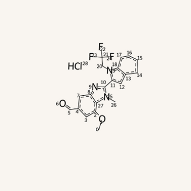 COc1cc(C=O)cc2nc(-c3cc4ccccc4n3CC(F)(F)F)n(C)c12.Cl